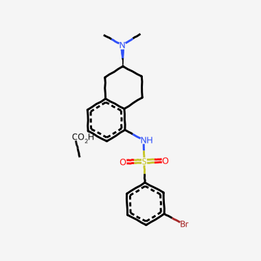 CC(=O)O.CN(C)[C@H]1CCc2c(cccc2NS(=O)(=O)c2cccc(Br)c2)C1